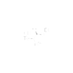 CCCC([Te]C)C(=O)OCC